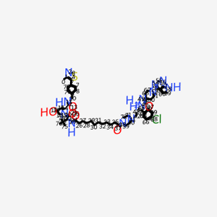 Cc1ncsc1-c1ccc(CNC(=O)[C@@H]2C[C@@H](O)CN2C(=O)[C@@H](NC(=O)CCCCCCCCCCC(=O)N2CCN(CC[C@H](NC(=O)C3(N)CCN(c4ncnc5[nH]ccc45)CC3)c3ccc(Cl)cc3)CC2)C(C)(C)C)cc1